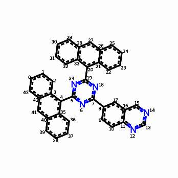 c1ccc2c(-c3nc(-c4ccc5ncncc5c4)nc(-c4c5ccccc5cc5ccccc45)n3)c3ccccc3cc2c1